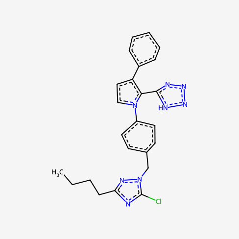 CCCCc1nc(Cl)n(Cc2ccc(-n3ccc(-c4ccccc4)c3-c3nnn[nH]3)cc2)n1